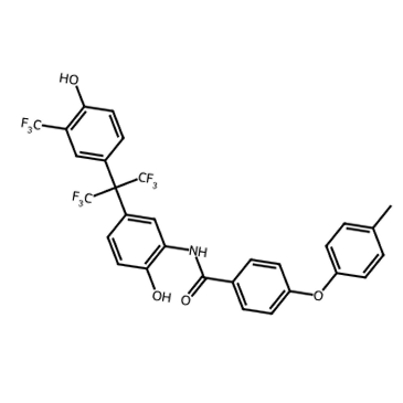 Cc1ccc(Oc2ccc(C(=O)Nc3cc(C(c4ccc(O)c(C(F)(F)F)c4)(C(F)(F)F)C(F)(F)F)ccc3O)cc2)cc1